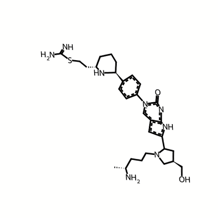 C[C@@H](N)CCCN1C[C@H](CO)CC1c1cc2cn(-c3ccc([C@@H]4CCC[C@@H](CCSC(=N)N)N4)cc3)c(=O)nc2[nH]1